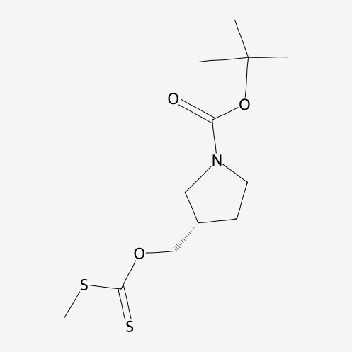 CSC(=S)OC[C@H]1CCN(C(=O)OC(C)(C)C)C1